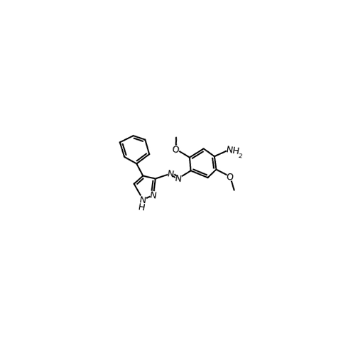 COc1cc(N=Nc2n[nH]cc2-c2ccccc2)c(OC)cc1N